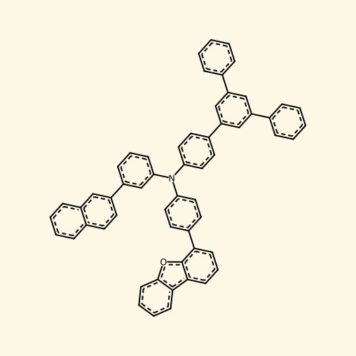 c1ccc(-c2cc(-c3ccccc3)cc(-c3ccc(N(c4ccc(-c5cccc6c5oc5ccccc56)cc4)c4cccc(-c5ccc6ccccc6c5)c4)cc3)c2)cc1